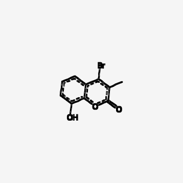 Cc1c(Br)c2cccc(O)c2oc1=O